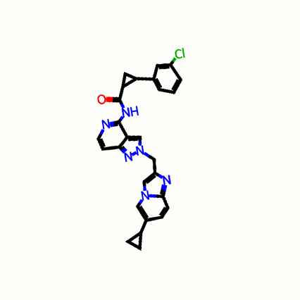 O=C(Nc1nccc2nn(Cc3cn4cc(C5CC5)ccc4n3)cc12)C1CC1c1cccc(Cl)c1